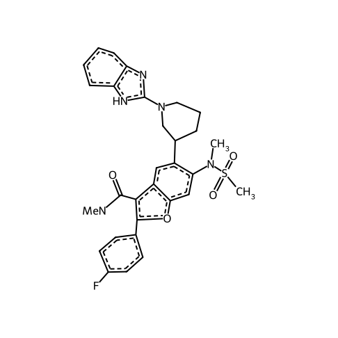 CNC(=O)c1c(-c2ccc(F)cc2)oc2cc(N(C)S(C)(=O)=O)c(C3CCCN(c4nc5ccccc5[nH]4)C3)cc12